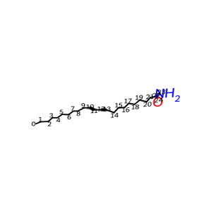 CCCCCCCCCCC#CC#CCCCCCCCCC(N)=O